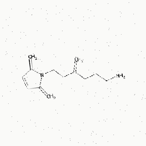 C=C(CCCN)CCn1c(=C)ccc1=C